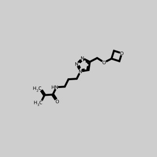 C=C(C)C(=O)NCCCn1cc(COC2COC2)nn1